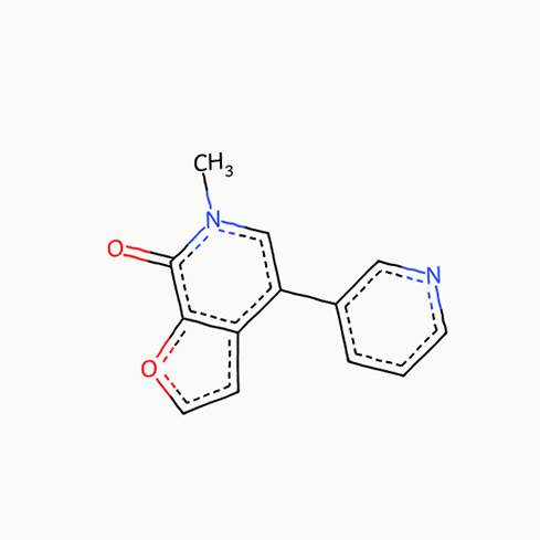 Cn1cc(-c2cccnc2)c2ccoc2c1=O